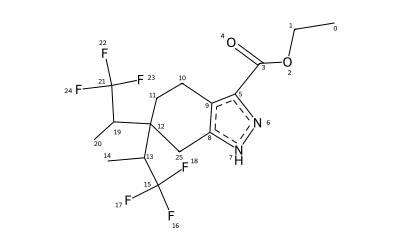 CCOC(=O)c1n[nH]c2c1CCC(C(C)C(F)(F)F)(C(C)C(F)(F)F)C2